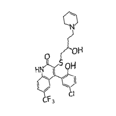 O=c1[nH]c2ccc(C(F)(F)F)cc2c(-c2cc(Cl)ccc2O)c1SCC(O)CCN1CC=CCC1